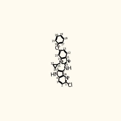 Clc1ccc2[nH]cc(Nc3nc4ccc(Oc5ccccc5)cc4n3C3CC3)c2n1